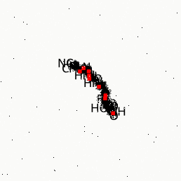 N#Cc1ccc(N2CCc3c(ncnc3Nc3ccc(C(=O)NC4CCN(CC5CCN(c6cc7c(cc6F)C(O)N(C6CCC(=O)NC6=O)C7=O)CC5)CC4)nn3)C2)cc1Cl